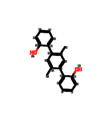 Cc1cc(-c2ccccc2O)c(C)cc1-c1ccccc1O